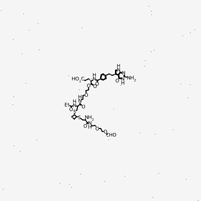 CCC(=O)NC(CSC1CCC1SCC(N)C(=O)NCCOCCOC=O)C(=O)NCCOCCOC(=O)[C@@H](CCC(=O)O)NC(=O)c1ccc(CCc2c[nH]c3nc(N)[nH]c(=O)c23)cc1